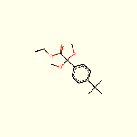 CCOC(=O)C(OC)(OC)c1ccc(C(C)(C)C)cc1